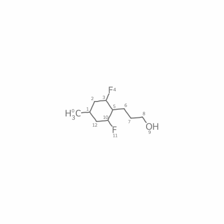 CC1CC(F)C(CCCO)C(F)C1